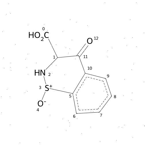 O=C(O)C1N[S+]([O-])c2ccccc2C1=O